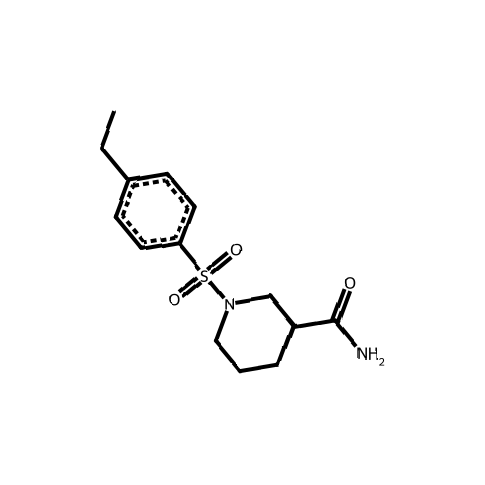 CCc1ccc(S(=O)(=O)N2CCCC(C(N)=O)C2)cc1